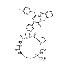 C[C@H]1NC(=O)[C@@H](Cc2ccc(NC(=O)[C@H](Cc3ccccc3Cl)NC(=O)Cc3ccc(F)cc3)cc2)NC(=O)CC2(CCCC2)CC(=O)N[C@H](C(=O)O)CCCCNC1=O